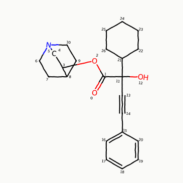 O=C(OC1CN2CCC1CC2)C(O)(C#Cc1ccccc1)C1CCCCC1